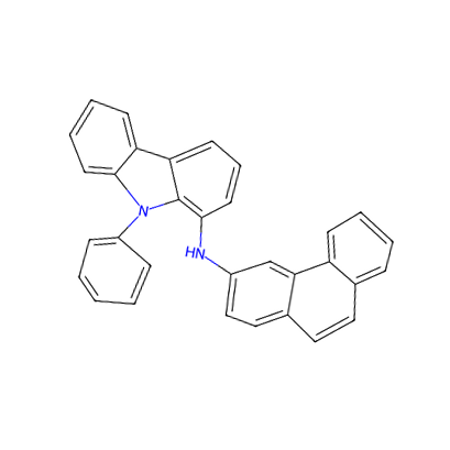 c1ccc(-n2c3ccccc3c3cccc(Nc4ccc5ccc6ccccc6c5c4)c32)cc1